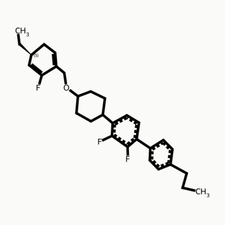 CCCc1ccc(-c2ccc(C3CCC(OCC4=CC[C@H](CC)C=C4F)CC3)c(F)c2F)cc1